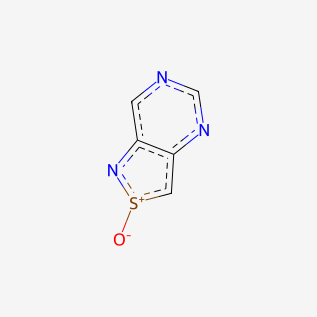 [O-][s+]1cc2ncncc2n1